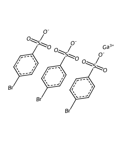 O=S(=O)([O-])c1ccc(Br)cc1.O=S(=O)([O-])c1ccc(Br)cc1.O=S(=O)([O-])c1ccc(Br)cc1.[Ga+3]